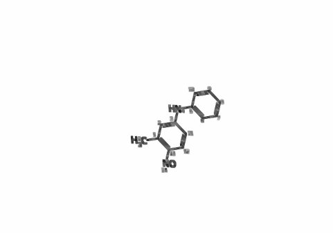 Cc1cc(Nc2ccccc2)ccc1N=O